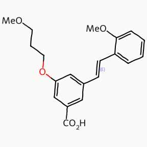 COCCCOc1cc(/C=C/c2ccccc2OC)cc(C(=O)O)c1